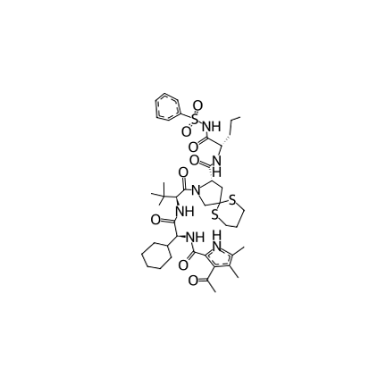 CCC[C@H](NC(=O)[C@@H]1CC2(CN1C(=O)[C@@H](NC(=O)[C@@H](NC(=O)c1[nH]c(C)c(C)c1C(C)=O)C1CCCCC1)C(C)(C)C)SCCCS2)C(=O)NS(=O)(=O)c1ccccc1